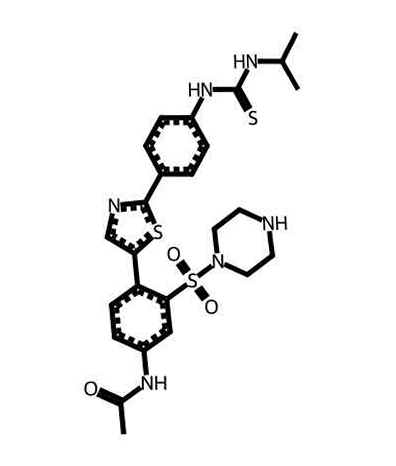 CC(=O)Nc1ccc(-c2cnc(-c3ccc(NC(=S)NC(C)C)cc3)s2)c(S(=O)(=O)N2CCNCC2)c1